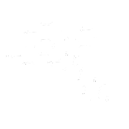 Cc1cc(-c2cc(COC3CCCCO3)ccc2F)c(C(=O)Nc2nnc(OCc3ccc(Cl)cn3)s2)cn1